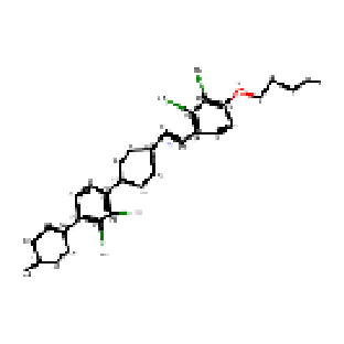 CCCCCOc1ccc(/C=C/C2CCC(c3ccc(C4CCC(C)CC4)c(F)c3F)CC2)c(F)c1F